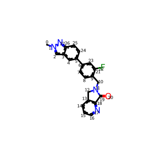 Cn1cc2cc(-c3ccc(CN4Cc5cccnc5C4=O)c(F)c3)ccc2n1